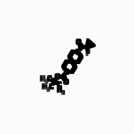 CC(C)(C)OC(=O)N1CCC2(CC1)CCN(C(=O)C1(F)CC1)CC2